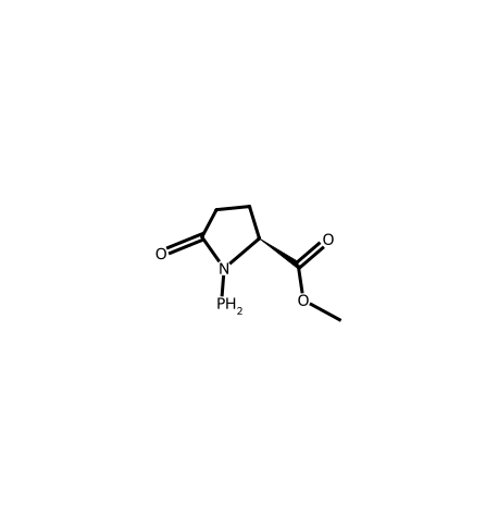 COC(=O)[C@@H]1CCC(=O)N1P